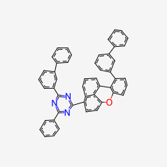 c1ccc(-c2cccc(-c3nc(-c4ccccc4)nc(-c4ccc5c6c(cccc46)-c4c(cccc4-c4cccc(-c6ccccc6)c4)O5)n3)c2)cc1